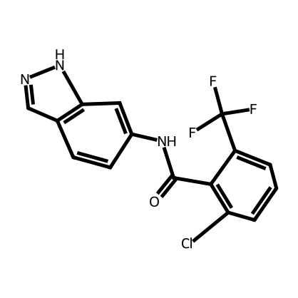 O=C(Nc1ccc2cn[nH]c2c1)c1c(Cl)cccc1C(F)(F)F